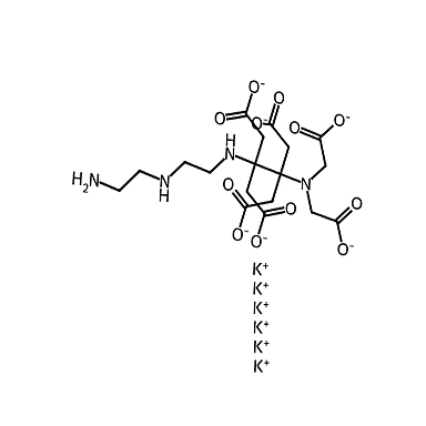 NCCNCCNC(CC(=O)[O-])(CC(=O)[O-])C(CC(=O)[O-])(CC(=O)[O-])N(CC(=O)[O-])CC(=O)[O-].[K+].[K+].[K+].[K+].[K+].[K+]